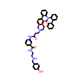 O=C(CCN1CCC(OC(=O)N(c2ccccc2-c2ccccc2)c2ccccc2-c2ccccc2)CC1)Nc1cccc(C(=O)NCCNCc2ccc(O)cc2)c1